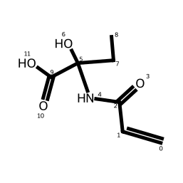 C=CC(=O)NC(O)(CC)C(=O)O